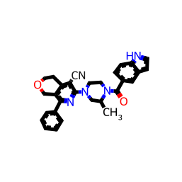 CC1CN(c2nc(-c3ccccc3)c3c(c2C#N)CCOC3)CCN1C(=O)c1ccc2[nH]ccc2c1